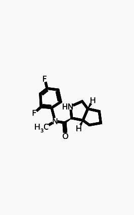 CN(C(=O)[C@H]1NC[C@@H]2CCC[C@@H]21)c1ccc(F)cc1F